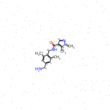 Cc1cc(CN)cc(C)c1CNC(=O)c1cnn(C)c1C(F)(F)F